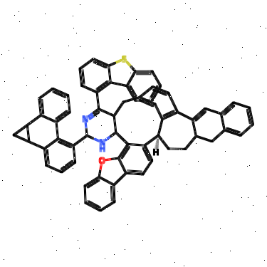 C1=C2c3ccc4cc3[C@@H](CCC2Cc2ccccc21)c1ccc2c(oc3ccccc32)c1C1NC(c2cccc3c2-c2ccccc2C2CC32)N=C(c2cccc3sc5ccccc5c23)C1C4